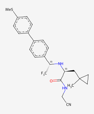 CSc1ccc(-c2ccc([C@H](N[C@@H](CC3(C)CC3)C(=O)NCC#N)C(F)(F)F)cc2)cc1